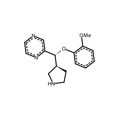 COc1ccccc1O[C@@H](c1cnccn1)[C@H]1CCNC1